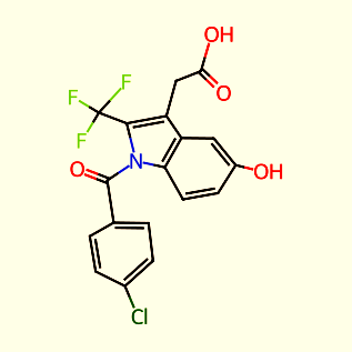 O=C(O)Cc1c(C(F)(F)F)n(C(=O)c2ccc(Cl)cc2)c2ccc(O)cc12